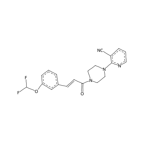 N#Cc1cccnc1N1CCN(C(=O)/C=C/c2cccc(OC(F)F)c2)CC1